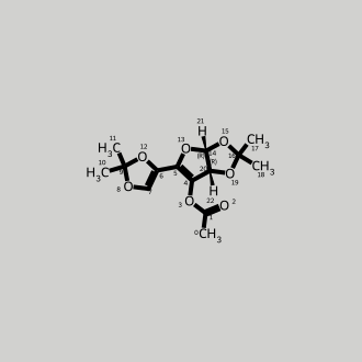 CC(=O)OC1=C(C2=COC(C)(C)O2)O[C@@H]2OC(C)(C)O[C@H]12